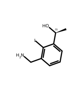 C[C@H](O)c1cccc(CN)c1I